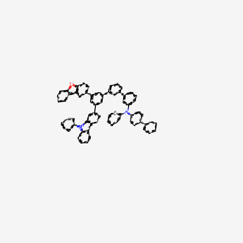 c1ccc(-c2ccc(N(c3ccccc3)c3cccc(-c4cccc(-c5cc(-c6ccc7oc8ccccc8c7c6)cc(-c6ccc7c8ccccc8n(-c8ccccc8)c7c6)c5)c4)c3)cc2)cc1